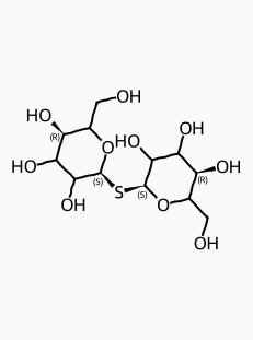 OCC1O[C@@H](S[C@@H]2OC(CO)[C@H](O)C(O)C2O)C(O)C(O)[C@H]1O